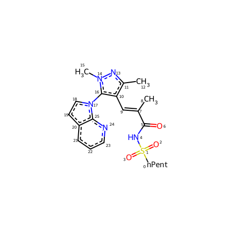 CCCCCS(=O)(=O)NC(=O)/C(C)=C/c1c(C)nn(C)c1-n1ccc2cccnc21